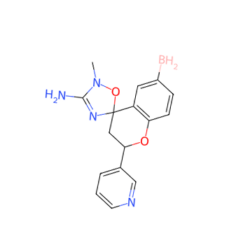 Bc1ccc2c(c1)C1(CC(c3cccnc3)O2)N=C(N)N(C)O1